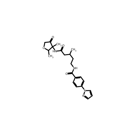 CC(CCNC(=O)c1ccc(-n2cccn2)cc1)CC(=O)NC1(C)C(=O)COC1C